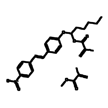 C=C(C)C(=O)OC.C=C(C)C(=O)OC(CCCCC)Oc1ccc(C=Cc2ccc([N+](=O)[O-])cc2)cc1